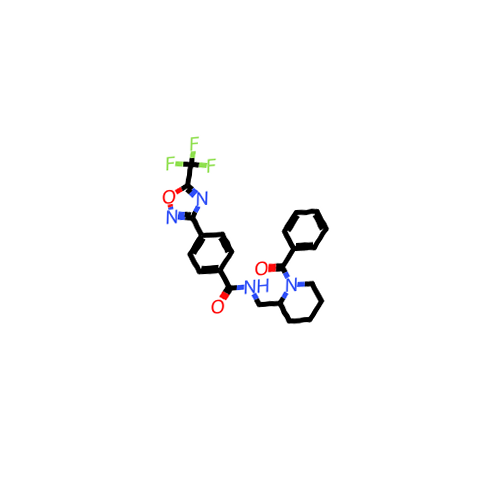 O=C(NCC1CCCCN1C(=O)c1ccccc1)c1ccc(-c2noc(C(F)(F)F)n2)cc1